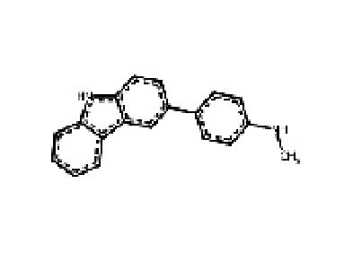 CNc1ccc(-c2ccc3[nH]c4ccccc4c3c2)cc1